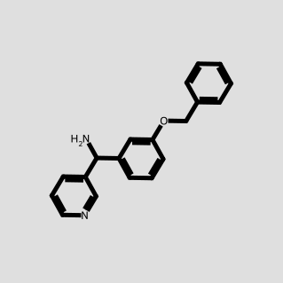 NC(c1cccnc1)c1cccc(OCc2ccccc2)c1